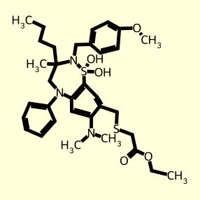 CCCCC1(C)CN(c2ccccc2)c2cc(N(C)C)c(CSCC(=O)OCC)cc2S(O)(O)N1Cc1ccc(OC)cc1